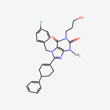 Cn1c(=O)n(CCCO)c(=O)c2c1nc(C1=CCC(c3ccccc3)CC1)n2Cc1ccc(Cl)cc1